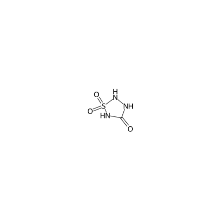 O=C1NNS(=O)(=O)N1